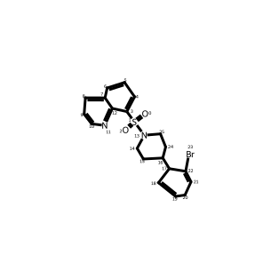 O=S(=O)(c1cccc2cccnc12)N1CCC(C2C=CCC=C2Br)CC1